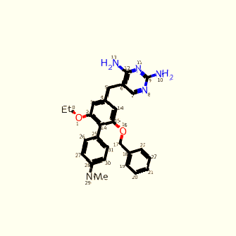 CCOc1cc(Cc2cnc(N)nc2N)cc(OCc2ccccc2)c1-c1ccc(NC)cc1